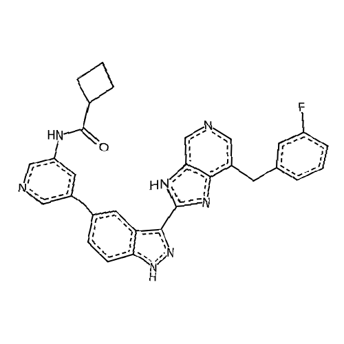 O=C(Nc1cncc(-c2ccc3[nH]nc(-c4nc5c(Cc6cccc(F)c6)cncc5[nH]4)c3c2)c1)C1CCC1